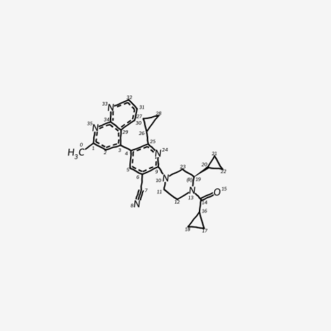 Cc1cc(-c2cc(C#N)c(N3CCN(C(=O)C4CC4)[C@H](C4CC4)C3)nc2C2CC2)c2cccnc2n1